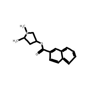 CC1CC(OC(=O)c2ccc3ccccc3c2)CN1C